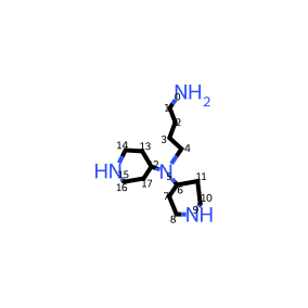 NCCCCN(C1CCNCC1)C1CCNCC1